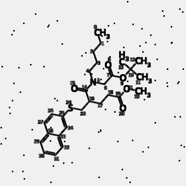 CCCCCN(CC(=O)OC(C)(C)C)C(=O)C(CCC(=O)OC)CSc1ccc2ccccc2c1